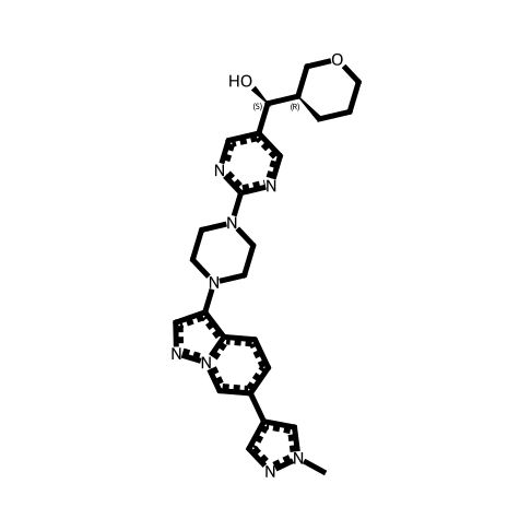 Cn1cc(-c2ccc3c(N4CCN(c5ncc([C@@H](O)[C@@H]6CCCOC6)cn5)CC4)cnn3c2)cn1